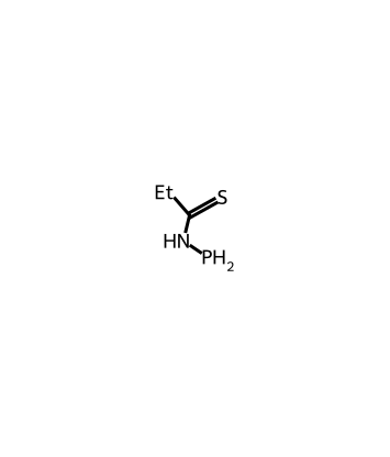 CCC(=S)NP